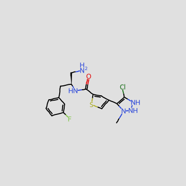 CN1NNC(Cl)=C1c1csc(C(=O)N[C@H](CN)Cc2cccc(F)c2)c1